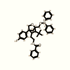 CC(C)(C)C1C(CCOC(=O)c2ccccc2)C2(c3ccc(F)cc3)COC1(CO[SiH](c1ccccc1)c1ccccc1)C2